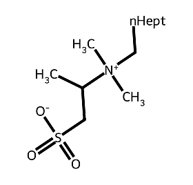 CCCCCCCC[N+](C)(C)C(C)CS(=O)(=O)[O-]